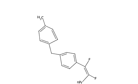 CCC/C(F)=C(/F)c1ccc(Cc2ccc(C)cc2)cc1